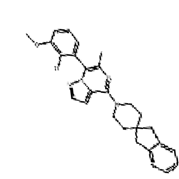 COc1cccc(-c2c(C)nc(N3CCC4(CC3)Cc3cccnc3C4)c3ccnn23)c1Cl